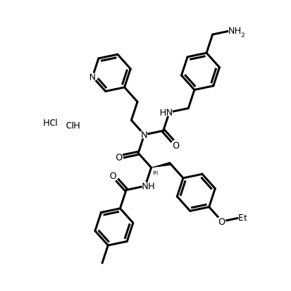 CCOc1ccc(C[C@@H](NC(=O)c2ccc(C)cc2)C(=O)N(CCc2cccnc2)C(=O)NCc2ccc(CN)cc2)cc1.Cl.Cl